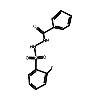 O=C(NNS(=O)(=O)c1ccccc1F)c1ccccc1